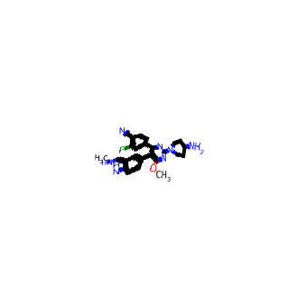 CN/C=C1/C=C(c2c(OC)nc(N3CCC(N)CC3)nc2-c2ccc(C#N)c(F)c2)C=CC1=N